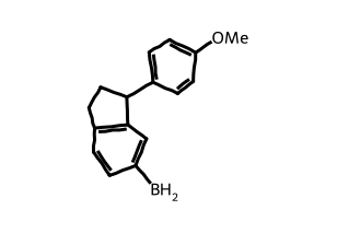 Bc1ccc2c(c1)C(c1ccc(OC)cc1)CC2